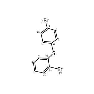 Brc1ccc(Sc2ccccc2Br)cc1